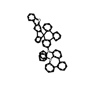 c1ccc(N(c2ccc3c(c2)-c2ccccc2-c2ccccc2C32c3ccccc3-c3cc4c(cc32)oc2ccccc24)c2cccc3c2N(c2ccccc2)c2ccccc2-c2ccccc2-3)cc1